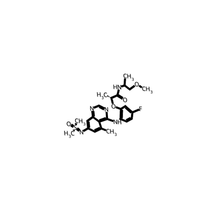 COCC(C)NC(=O)[C@@H](C)Oc1cc(F)ccc1Nc1ncnc2cc(N=S(C)(C)=O)cc(C)c12